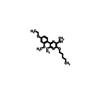 CCCCCOc1nc(C)c(-c2ccc(OCC)cc2OC)nc1NC